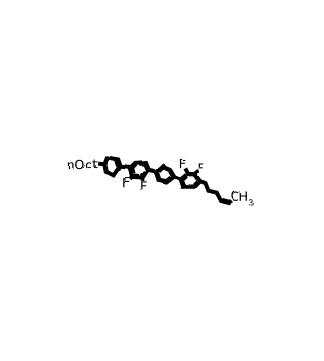 C/C=C\CCCc1ccc(-c2ccc(-c3ccc(C4=CCC(CCCCCCCC)CC4)c(F)c3F)cc2)c(F)c1F